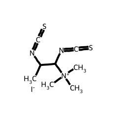 CC(N=C=S)C(N=C=S)[N+](C)(C)C.[I-]